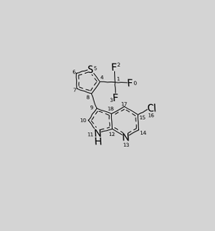 FC(F)(F)c1sccc1-c1c[nH]c2ncc(Cl)cc12